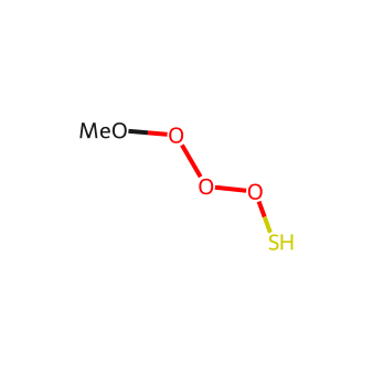 COOOOS